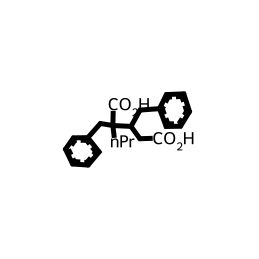 CCCC(Cc1ccccc1)(C(=O)O)C(CC(=O)O)Cc1ccccc1